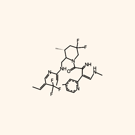 C\C=C(/N=C\C(=C/C)C(F)(F)F)NCC1[C@H](C)CC(F)(F)CN1C(=O)C(=N)/C(=C\NC)c1cc(C)ccn1